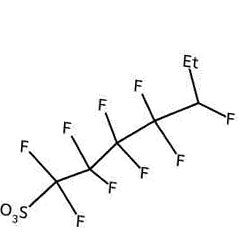 CCC(F)C(F)(F)C(F)(F)C(F)(F)C(F)(F)S(=O)(=O)O